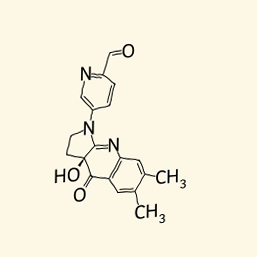 Cc1cc2c(cc1C)C(=O)[C@]1(O)CCN(c3ccc(C=O)nc3)C1=N2